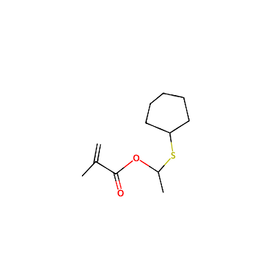 C=C(C)C(=O)OC(C)SC1CCCCC1